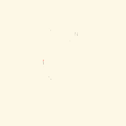 c1ccc(-c2nc3ccc4oc5ccc(-c6ccc(N(c7ccc8ccccc8c7)c7ccccc7-c7ccccc7)cc6)cc5c4c3o2)cc1